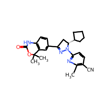 Cc1nc(N2N=C(c3ccc4c(c3)C(C)(C)OC(=O)N4)C[C@@H]2C2CCCC2)ccc1C#N